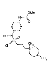 COC(=O)Nc1ccc(N(O)S(=O)(=O)CCC[N+]2(C)CCN(C)CC2)cc1.[Cl-]